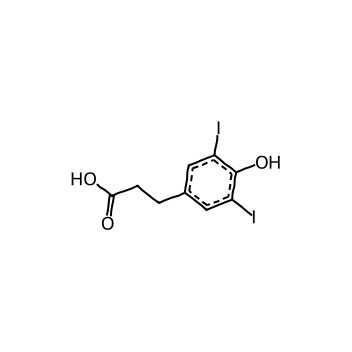 O=C(O)CCc1cc(I)c(O)c(I)c1